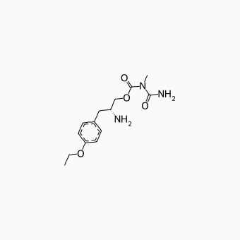 CCOc1ccc(C[C@@H](N)COC(=O)N(C)C(N)=O)cc1